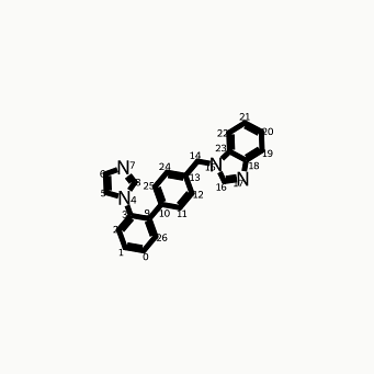 c1ccc(-n2ccnc2)c(-c2ccc(Cn3cnc4ccccc43)cc2)c1